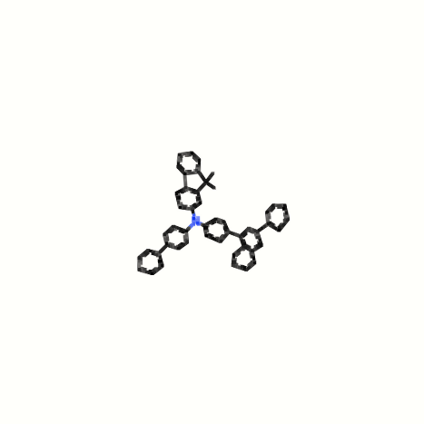 CC1(C)c2ccccc2-c2ccc(N(c3ccc(-c4ccccc4)cc3)c3ccc(-c4cc(-c5ccccc5)cc5ccccc45)cc3)cc21